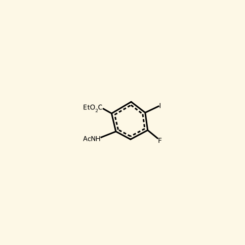 CCOC(=O)c1cc(I)c(F)cc1NC(C)=O